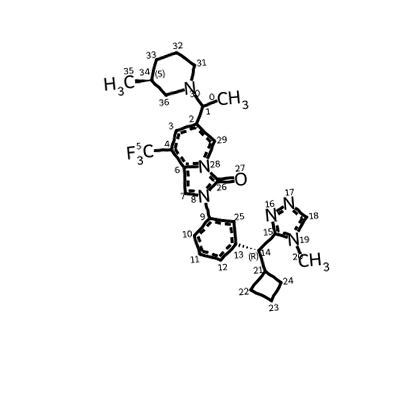 CC(c1cc(C(F)(F)F)c2cn(-c3cccc([C@H](c4nncn4C)C4CCC4)c3)c(=O)n2c1)N1CCC[C@H](C)C1